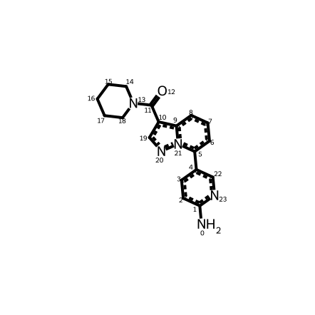 Nc1ccc(-c2cccc3c(C(=O)N4CCCCC4)cnn23)cn1